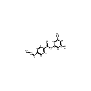 O=C=Nc1ccc(C(=O)Oc2cc(Cl)cc(Cl)c2)cc1